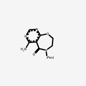 CCCC(C)N1CCOc2ncnc(N)c2C1=O